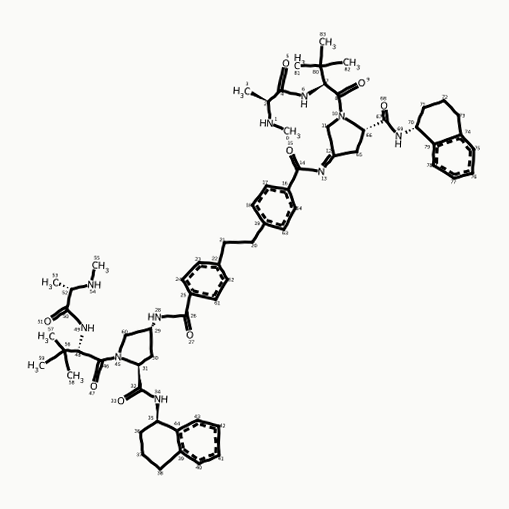 CN[C@@H](C)C(=O)N[C@H](C(=O)N1C/C(=N\C(=O)c2ccc(CCc3ccc(C(=O)N[C@@H]4C[C@@H](C(=O)N[C@@H]5CCCc6ccccc65)N(C(=O)[C@@H](NC(=O)[C@H](C)NC)C(C)(C)C)C4)cc3)cc2)C[C@H]1C(=O)N[C@@H]1CCCc2ccccc21)C(C)(C)C